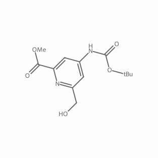 COC(=O)c1cc(NC(=O)OC(C)(C)C)cc(CO)n1